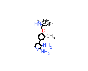 Cc1cc(-c2ccnc(N)c2N)ccc1OCC(C)(CC(C)C)NC(=O)O